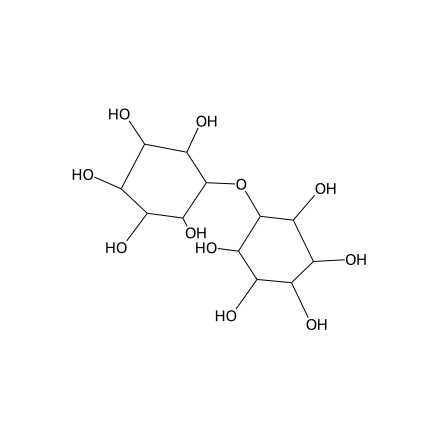 OC1C(O)C(O)C(OC2C(O)C(O)C(O)C(O)C2O)C(O)C1O